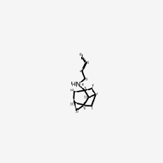 ICCCNC12CC3CC4(CC4C1)C32